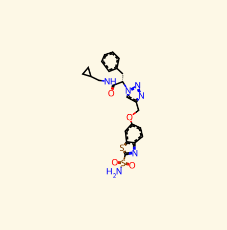 NS(=O)(=O)c1nc2ccc(OCc3cn([C@@H](Cc4ccccc4)C(=O)NCC4CC4)nn3)cc2s1